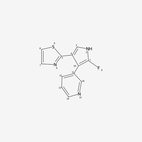 Fc1[nH]cc(-c2nccs2)c1-c1cccnc1